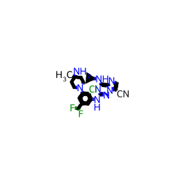 CC1(N)CCN(c2cc(C(F)F)cc(Nc3nc(NC4CC4)c4ncc(C#N)n4n3)c2Cl)CC1